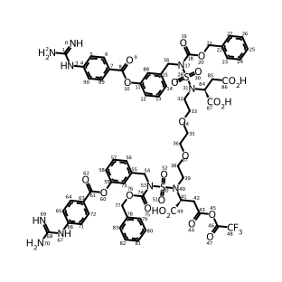 N=C(N)Nc1ccc(C(=O)Oc2cccc(CN(C(=O)OCc3ccccc3)S(=O)(=O)N(CCOCCOCCN([C@@H](CC(=O)OC(=O)C(F)(F)F)C(=O)O)S(=O)(=O)N(Cc3cccc(OC(=O)c4ccc(NC(=N)N)cc4)c3)C(=O)OCc3ccccc3)[C@@H](CC(=O)O)C(=O)O)c2)cc1